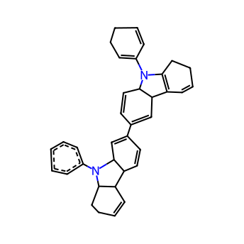 C1=CC(N2C3=C(C=CCC3)C3C=C(C4=CC5C(C=C4)C4C=CCCC4N5c4ccccc4)C=CC32)=CCC1